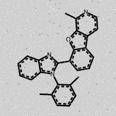 Cc1cccc(C)c1-n1c(-c2cccc3c2oc2c(C)nccc23)nc2ccccc21